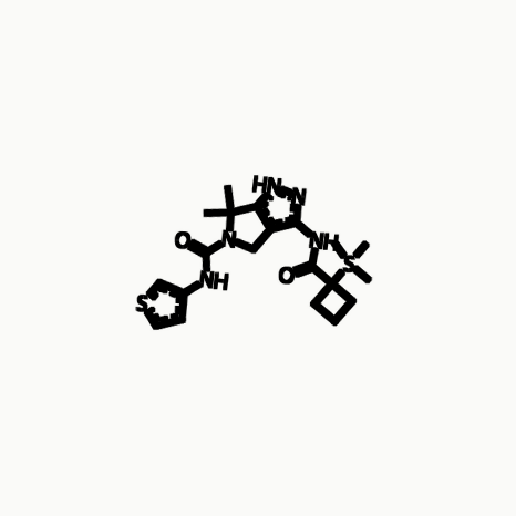 CC1(C)c2[nH]nc(NC(=O)C3(S(C)(C)C)CCC3)c2CN1C(=O)Nc1ccsc1